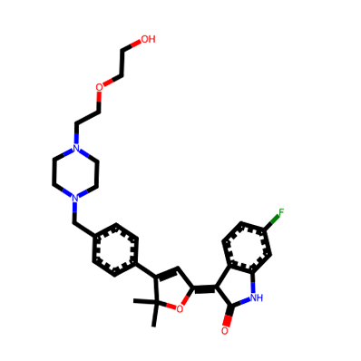 CC1(C)OC(=C2C(=O)Nc3cc(F)ccc32)C=C1c1ccc(CN2CCN(CCOCCO)CC2)cc1